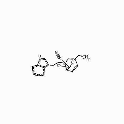 CCC12C=CC(N(CCc3c[nH]c4ccccc34)C1)C(Cl)(C#N)C2